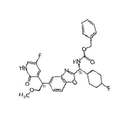 COC[C@H](c1ccc2oc([C@@H](NC(=O)OCc3ccccc3)C3CCC(F)CC3)nc2c1)c1cc(F)c[nH]c1=O